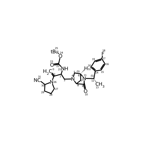 C=C(C(CN1C[C@@H]2CC1C(=O)N2[C@@H](C)c1ccc(F)cc1)NC(=O)OC(C)(C)C)N1CCCC1C#N